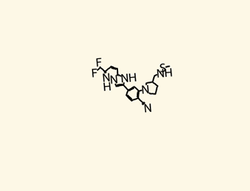 CSNCC1CCCN(c2cc(-c3cnc(/C=C\C(=N)C(F)F)[nH]3)ccc2C#N)C1